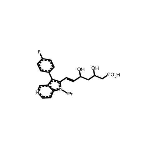 CC(C)n1c(C=CC(O)CC(O)CC(=O)O)c(-c2ccc(F)cc2)c2cnccc21